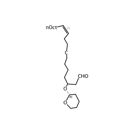 CCCCCCCC/C=C\CCCCCCCC(CC=O)O[C@@H]1CCCCO1